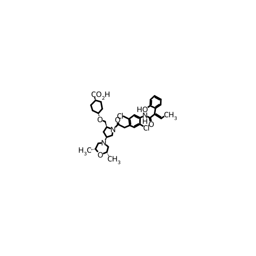 C/C=C(/C(=O)Nc1cc(Cl)c(CC(=O)N2C[C@@H](N3C[C@@H](C)O[C@@H](C)C3)C[C@H]2CO[C@H]2CC[C@H](C(=O)O)CC2)cc1Cl)c1ccccc1O